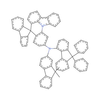 CC1(C)c2ccccc2-c2ccc(N(c3ccc4c(c3)-n3c5ccccc5c5cccc(c53)C43c4ccccc4-c4ccccc43)c3cccc4c3-c3ccccc3C4(c3ccccc3)c3ccccc3)cc21